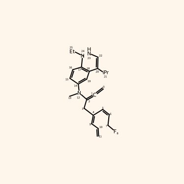 C=C=C(CC(/C=C\CF)=C/C=C)N(C)c1ccc2c(c1)C(C(C)C)=CNN2CC